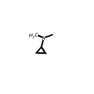 [C]N(C)C1CC1